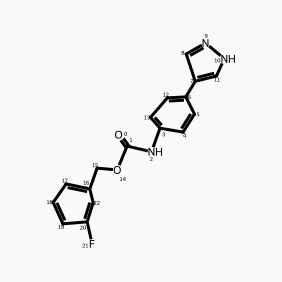 O=C(Nc1ccc(-c2cn[nH]c2)cc1)OCc1cccc(F)c1